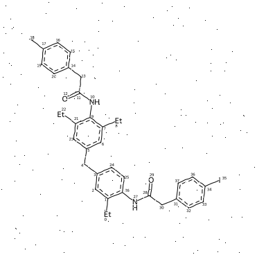 CCc1cc(Cc2cc(CC)c(NC(=O)Cc3ccc(C)cc3)c(CC)c2)ccc1NC(=O)Cc1ccc(I)cc1